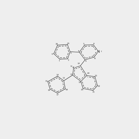 c1ccc(-c2ccncc2-c2sc(-c3ccccc3)c3ccccc23)cc1